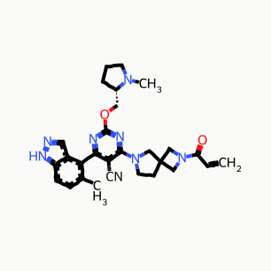 C=CC(=O)N1CC2(CCN(c3nc(OC[C@@H]4CCCN4C)nc(-c4c(C)ccc5[nH]ncc45)c3C#N)C2)C1